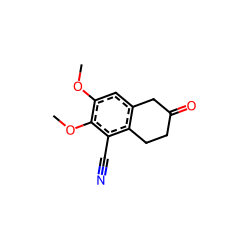 COc1cc2c(c(C#N)c1OC)CCC(=O)C2